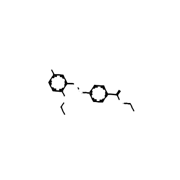 CCOC(=O)c1ccc(NSc2cc(Br)ccc2OCC)cc1